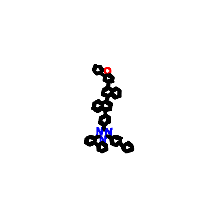 c1ccc(-c2ccc(-c3nc(-c4ccc(-c5ccc(-c6ccc(-c7ccc8oc9ccccc9c8c7)c7ccccc67)c6ccccc56)cc4)nc(-c4ccccc4-c4ccccc4)n3)cc2)cc1